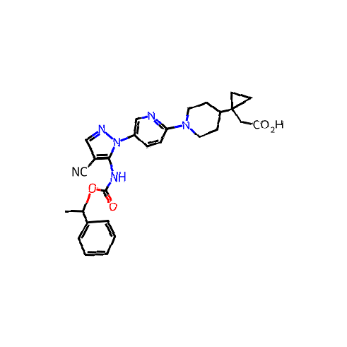 CC(OC(=O)Nc1c(C#N)cnn1-c1ccc(N2CCC(C3(CC(=O)O)CC3)CC2)nc1)c1ccccc1